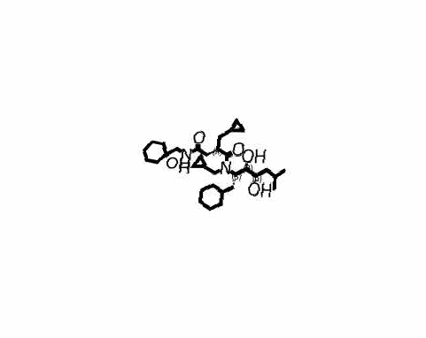 CC(C)C[C@H](O)[C@H](O)[C@H](CC1CCCCC1)N(CC1CC1)C(=O)[C@@H](CC(=O)NCC1(O)CCCCC1)CC1CC1